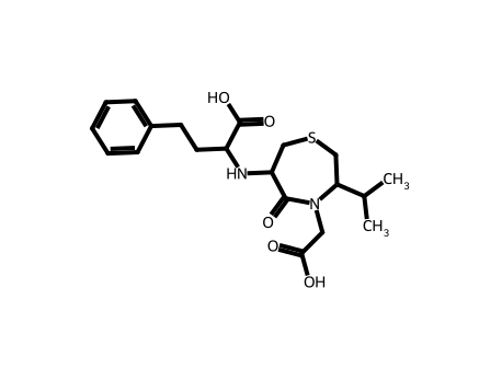 CC(C)C1CSCC(NC(CCc2ccccc2)C(=O)O)C(=O)N1CC(=O)O